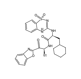 CC[C@H](NC(=O)[C@H](CC1CCCCC1)NC1=NS(=O)(=O)c2ccccc2N1)C(=O)c1nc2ccccc2o1